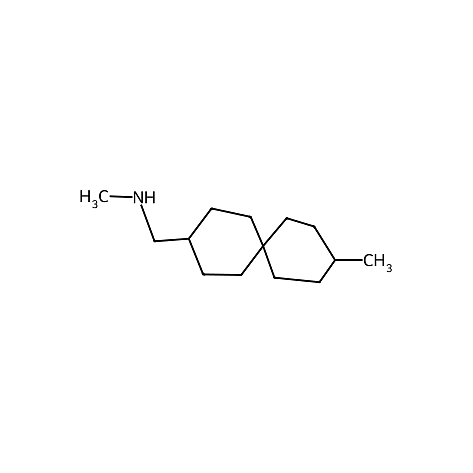 CNCC1CCC2(CCC(C)CC2)CC1